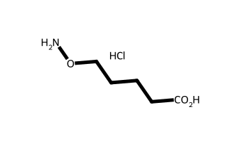 Cl.NOCCCCC(=O)O